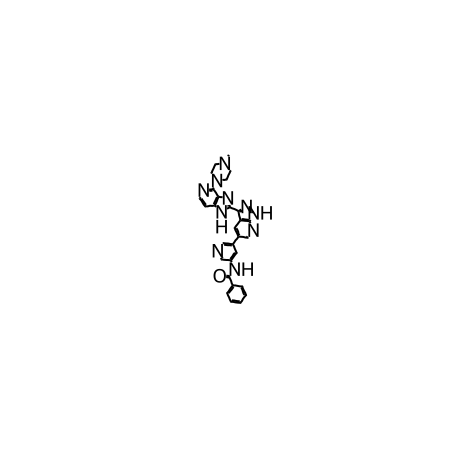 CN1CCN(c2nccc3[nH]c(-c4n[nH]c5ncc(-c6cncc(NC(=O)c7ccccc7)c6)cc45)nc23)CC1